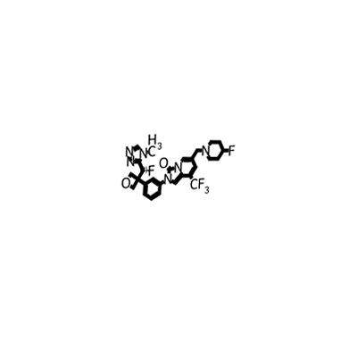 Cn1cnnc1[C@H](F)C1(c2cccc(-n3cc4c(C(F)(F)F)cc(CN5CCC(F)CC5)cn4c3=O)c2)COC1